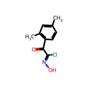 Cc1ccc(C(=O)C(Cl)=NO)c(C)c1